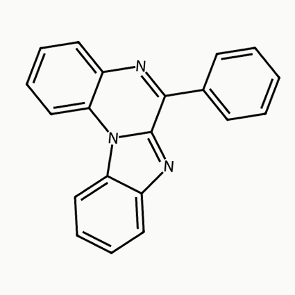 c1ccc(-c2nc3ccccc3n3c2nc2ccccc23)cc1